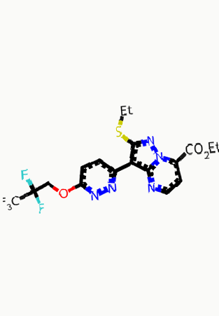 CCOC(=O)c1ccnc2c(-c3ccc(OCC(F)(F)C(F)(F)F)nn3)c(SCC)nn12